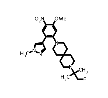 COc1cc(N2CCC3(CC2)CCN(C(C)(C)CF)CC3)c(-c2cnn(C)c2)cc1[N+](=O)[O-]